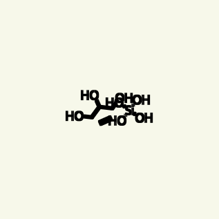 C=C.OCC(O)CO.O[Si](O)(O)O